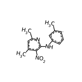 Cc1[c]ccc(Nc2nc(C)cc(C)c2[N+](=O)[O-])c1